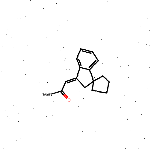 CNC(=O)/C=C1\CC2(CCCC2)c2ccccc21